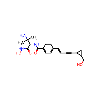 CC(C)(N)[C@H](NC(=O)c1ccc(/C=C/C#CC2CC2CO)cc1)C(=O)NO